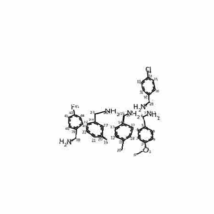 COc1ccc(CN)cc1.Cc1ccc(CN)cc1.Cc1cccc(CN)c1.NCc1ccc(Cl)cc1.NCc1ccc(F)cc1